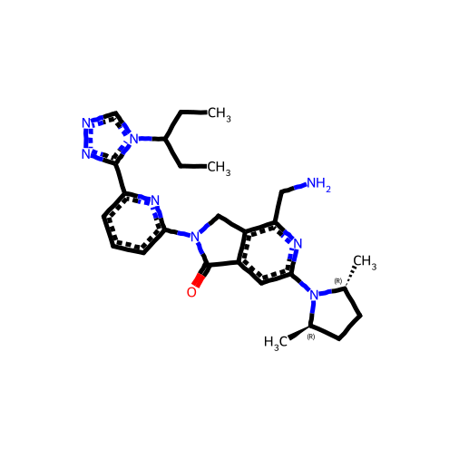 CCC(CC)n1cnnc1-c1cccc(N2Cc3c(cc(N4[C@H](C)CC[C@H]4C)nc3CN)C2=O)n1